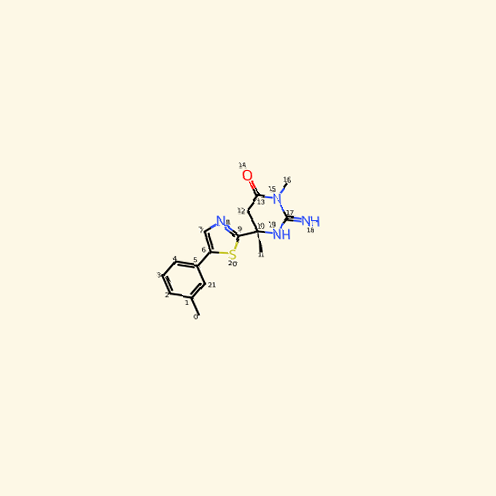 Cc1cccc(-c2cnc([C@]3(C)CC(=O)N(C)C(=N)N3)s2)c1